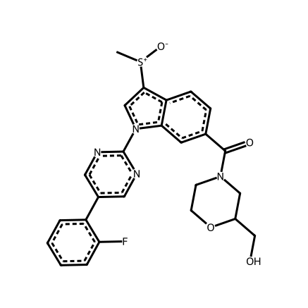 C[S+]([O-])c1cn(-c2ncc(-c3ccccc3F)cn2)c2cc(C(=O)N3CCOC(CO)C3)ccc12